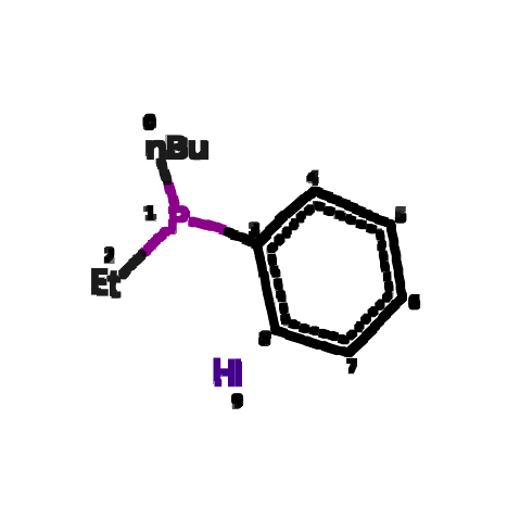 CCCCP(CC)c1ccccc1.I